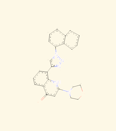 O=c1cc(N2CCOCC2)[nH]c2c(-c3cn(-c4cccc5ccccc45)nn3)cccc12